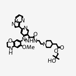 COc1cc2c(cc1-n1nc(C(=O)NCCN3CCC(CC(=O)OCC(C)(C)O)CC3)c3cnc(-c4cnn5cccnc45)cc31)OCCN2